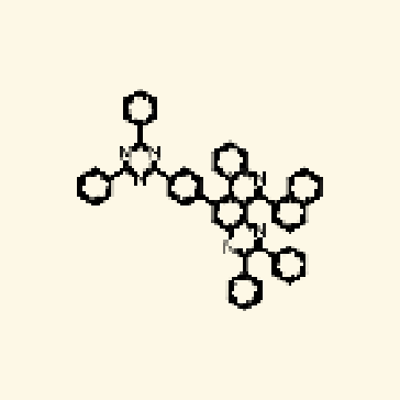 c1ccc(-c2nc(-c3ccccc3)nc(-c3ccc(-c4cc5nc(-c6ccccc6)c(-c6ccccc6)nc5c5c(-c6cccc7ccccc67)nc6ccccc6c45)cc3)n2)cc1